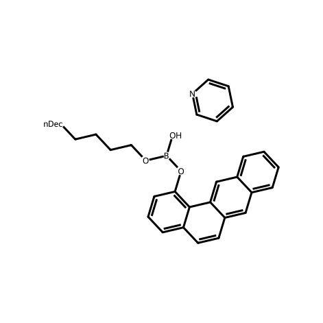 CCCCCCCCCCCCCCOB(O)Oc1cccc2ccc3cc4ccccc4cc3c12.c1ccncc1